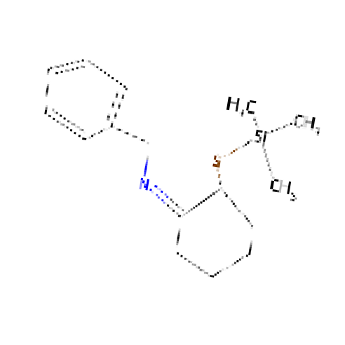 C[Si](C)(C)SC1CCCC/C1=N/Cc1ccccc1